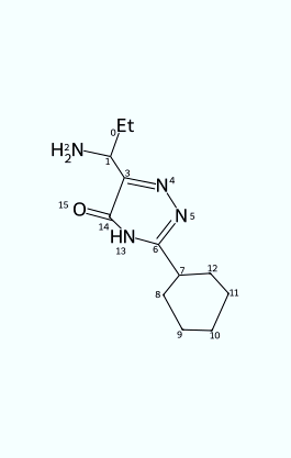 CCC(N)c1nnc(C2CCCCC2)[nH]c1=O